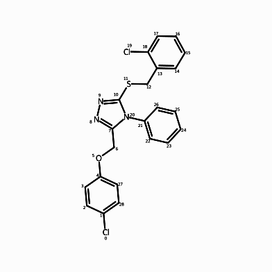 Clc1ccc(OCc2nnc(SCc3ccccc3Cl)n2-c2ccccc2)cc1